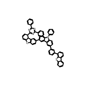 C1=CC(c2nc(-c3ccccc3)nc(-c3ccccc3)n2)C2C(=C1)Oc1ccc(-c3ccc4c(c3)c3cc(-c5cccc(-c6cccc7c6sc6ccccc67)c5)ccc3n4-c3ccccc3)cc12